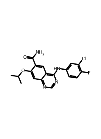 CC(C)Oc1cc2ncnc(Nc3ccc(F)c(Cl)c3)c2cc1C(N)=O